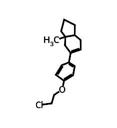 CC12CCCC1CC=C(c1ccc(OCCCl)cc1)C2